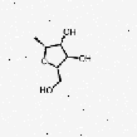 C[C@@H]1O[C@H](CO)C(O)[C@@H]1O